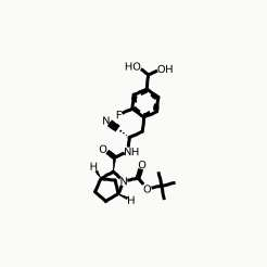 CC(C)(C)OC(=O)N1[C@@H]2CC[C@@H](C2)[C@H]1C(=O)N[C@H](C#N)Cc1ccc(C(O)O)cc1F